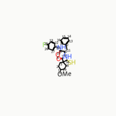 COC1CCC(CS)(C(=O)N[C@@H](Cc2ccccc2)C(=O)Nc2ccc(F)cc2)CC1